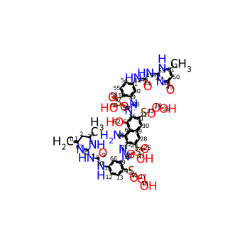 C=C1CC(C)NC(NC(=O)Nc2ccc(SOOO)c(/N=N/c3c(S(=O)(=O)O)cc4cc(SOOO)c(/N=N/c5cc(NC(=O)Nc6nc(=O)cc(C)[nH]6)ccc5S(=O)(=O)O)c(O)c4c3N)c2)=N1